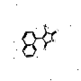 NC1=C(c2cccc3ccccc23)C(=O)NC1=O